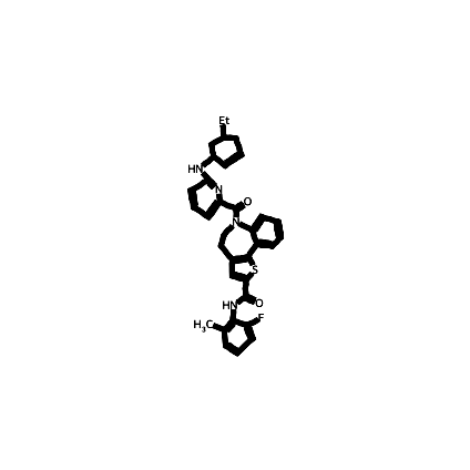 CCC1CC=CC(Nc2cccc(C(=O)N3CCc4cc(C(=O)Nc5c(C)cccc5F)sc4-c4ccccc43)n2)C1